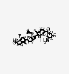 Cc1c(-c2ccc3cc(-c4nn5cc(C(=O)N6C[C@H](N)C[C@@H](F)C6)ccc5c4C)n(CC4CC4)c3n2)cc(F)c2[nH]c(=O)ccc12